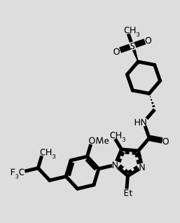 CCc1nc(C(=O)NC[C@H]2CC[C@H](S(C)(=O)=O)CC2)c(C)n1C1=C(OC)C=C(CC(C)C(F)(F)F)CC1